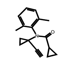 C#CC1(N(C(=O)C2CC2)c2c(C)cccc2C)CC1